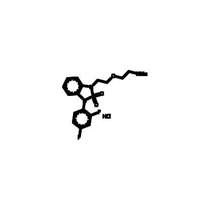 CNCCOCCN1c2ccccc2N(c2ccc(F)cc2F)S1(=O)=O.Cl